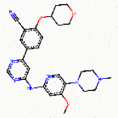 COc1cc(Nc2cc(-c3ccc(OC4CCOCC4)c(C#N)c3)ncn2)ncc1N1CCN(C)CC1